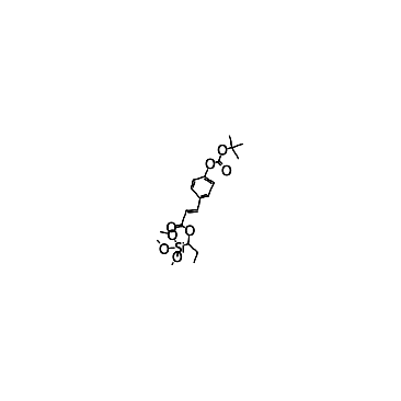 CCC(OC(=O)C=Cc1ccc(OC(=O)OC(C)(C)C)cc1)[Si](OC)(OC)OC